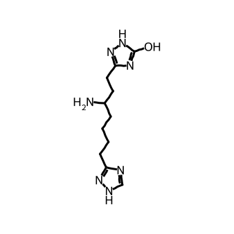 NC(CCCCc1nc[nH]n1)CCc1n[nH]c(O)n1